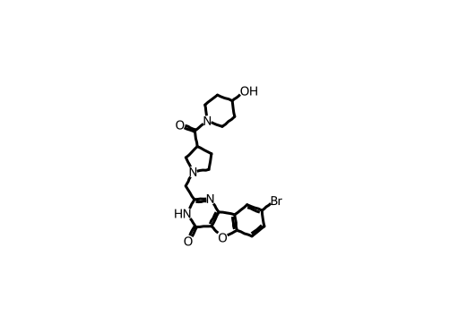 O=C(C1CCN(Cc2nc3c(oc4ccc(Br)cc43)c(=O)[nH]2)C1)N1CCC(O)CC1